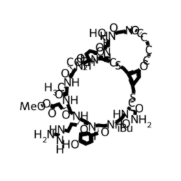 CC[C@@H](C)[C@@H]1NC(=O)[C@H](Cc2ccc(O)cc2)NC(=O)[C@H](CCCNC(=N)N)NC(=O)[C@H](CCC(=O)OOC)NC(=O)[C@H](C)NC(=O)[C@H](CC(=O)O)NC(=O)[C@@H]2CCCN2C(=O)[C@@H]2CSCc3cc(cc(c3)OCCCCCCO/N=C/C(=O)N[C@@H](CO)C(=O)N2)CSC[C@@H](C(N)=O)NC1=O